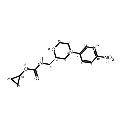 O=C(NC[C@H]1CN(c2ccc([N+](=O)[O-])nc2)CCO1)OC1CC1